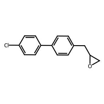 Clc1ccc(-c2ccc(CC3CO3)cc2)cc1